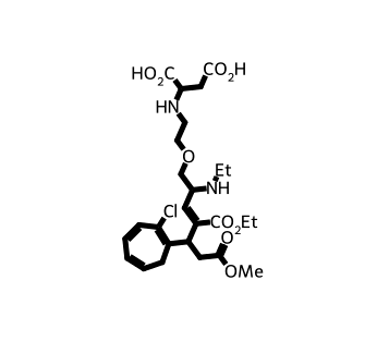 CCNC(C=C(C(=O)OCC)C(CC(=O)OC)C1=C(Cl)C=CC=CC1)COCCNC(CC(=O)O)C(=O)O